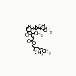 CCCCC(CC)COC(=O)CCC(C)c1c(C)ccnc1N1CC(C)(COC)C1